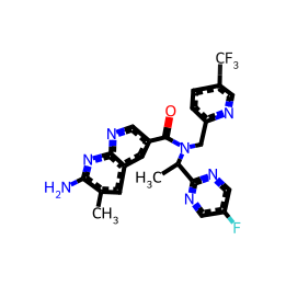 Cc1cc2cc(C(=O)N(Cc3ccc(C(F)(F)F)cn3)C(C)c3ncc(F)cn3)cnc2nc1N